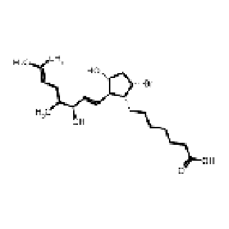 CC(C)=CCC(C)[C@H](O)C=C[C@@H]1[C@@H](CCCCCCC(=O)O)[C@@H](Br)C[C@H]1O